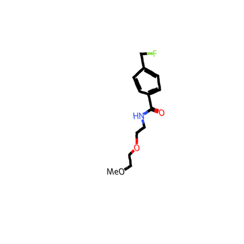 COCCOCCNC(=O)c1ccc(CF)cc1